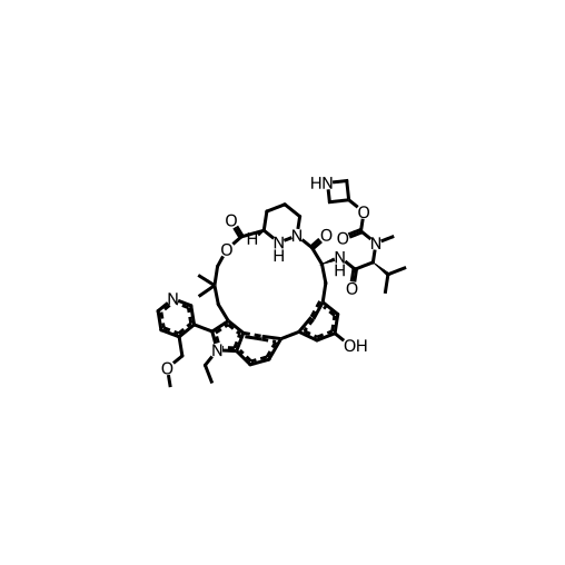 CCn1c(-c2cnccc2COC)c2c3cc(ccc31)-c1cc(O)cc(c1)C[C@H](NC(=O)[C@H](C(C)C)N(C)C(=O)OC1CNC1)C(=O)N1CCC[C@H](N1)C(=O)OCC(C)(C)C2